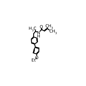 CCOc1ccc(-c2ccc(CC(C)NC(=O)C=C(C)C)cc2)cc1